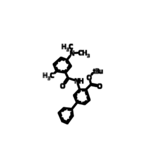 Cc1ccc(N(C)C)cc1C(=O)Nc1cc(-c2ccccc2)ccc1C(=O)OC(C)(C)C